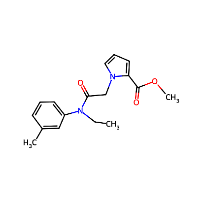 CCN(C(=O)Cn1cccc1C(=O)OC)c1cccc(C)c1